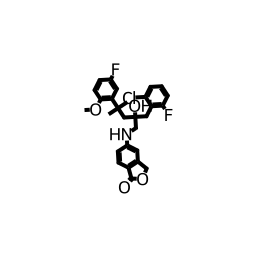 COc1ccc(F)cc1C(C)(C)CC(O)(CNc1ccc2c(c1)COC2=O)Cc1c(F)cccc1Cl